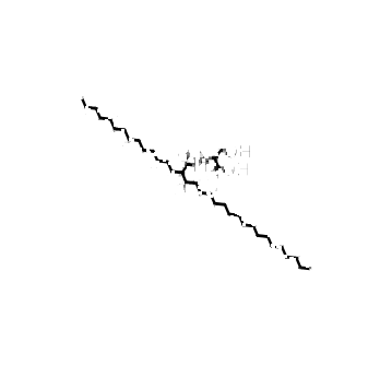 CCCCCCCCCCCCCCCCCC(=O)C(CCCCCCCCCCCCCC)C(=O)PNC(CO)C(=O)O